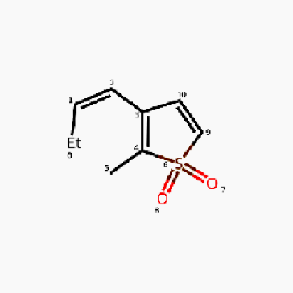 CC/C=C\C1=C(C)S(=O)(=O)C=C1